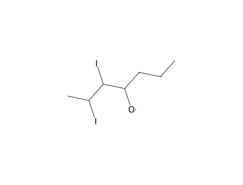 CCCC([O])C(I)C(C)I